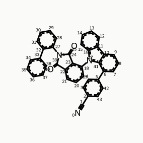 N#Cc1ccc(-c2cccc3c4ccccc4n(-c4cccc5c4C(=O)N(c4ccccc4-c4ccccc4)C5=O)c23)cc1